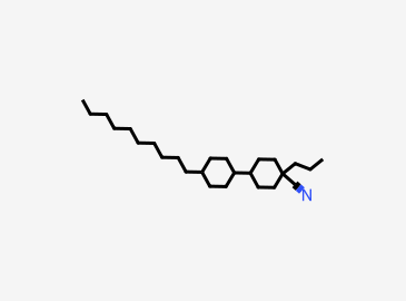 CCCCCCCCCCC1CCC(C2CCC(C#N)(CCC)CC2)CC1